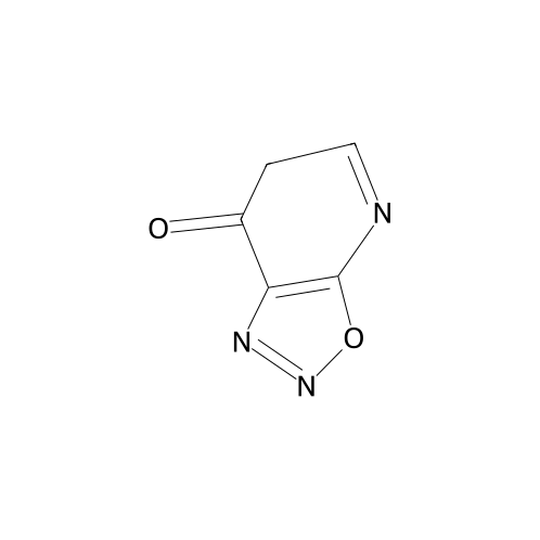 O=C1CC=Nc2onnc21